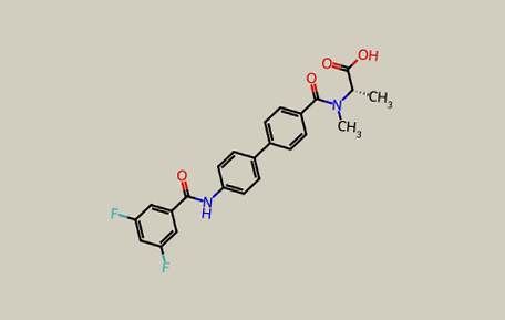 C[C@@H](C(=O)O)N(C)C(=O)c1ccc(-c2ccc(NC(=O)c3cc(F)cc(F)c3)cc2)cc1